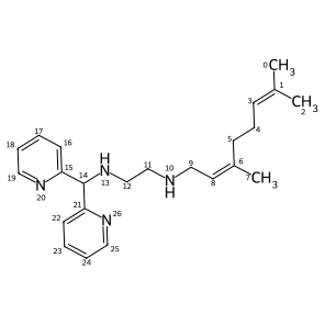 CC(C)=CCCC(C)=CCNCCNC(c1ccccn1)c1ccccn1